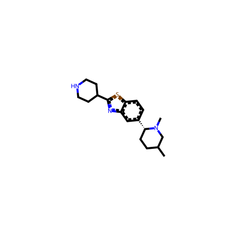 CC1CC[C@H](c2ccc3sc(C4CCNCC4)nc3c2)N(C)C1